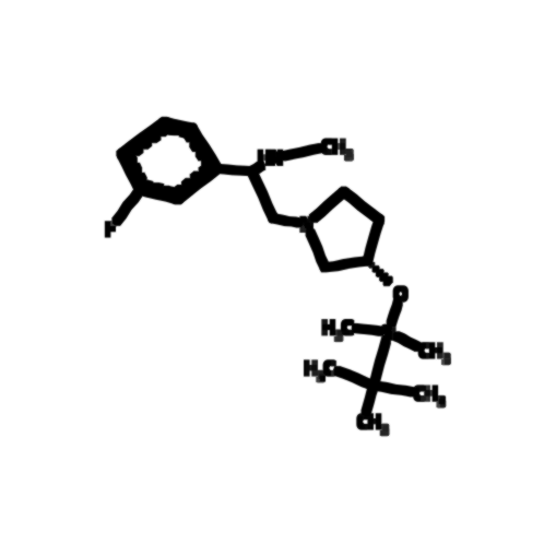 CNC(CN1CC[C@H](O[Si](C)(C)C(C)(C)C)C1)c1cccc(F)c1